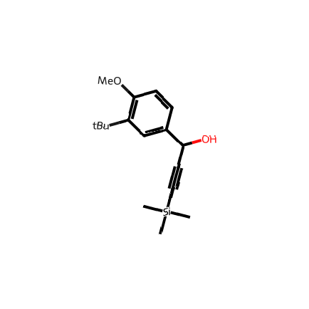 COc1ccc(C(O)C#C[Si](C)(C)C)cc1C(C)(C)C